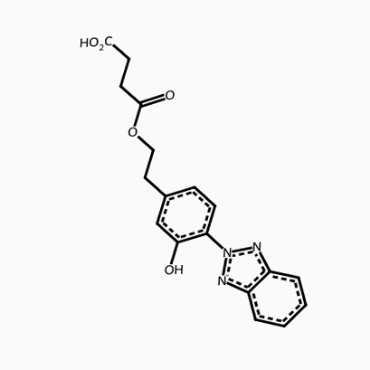 O=C(O)CCC(=O)OCCc1ccc(-n2nc3ccccc3n2)c(O)c1